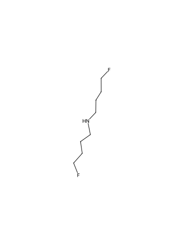 FCCCCNCCCCF